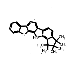 CC1(C)c2ccc3c([nH]c4c3ccc3c5ccccc5oc34)c2C(C)(C)C1(C)C